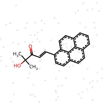 CC(C)(O)C(=O)C=Cc1ccc2ccc3cccc4ccc1c2c34